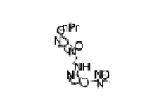 CCCOc1cc2c(cn1)CN(CCNc1nccc3ccc(-c4noc(C)n4)cc13)C2=O